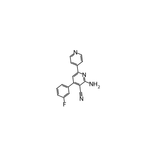 N#Cc1c(-c2cccc(F)c2)cc(-c2ccncc2)nc1N